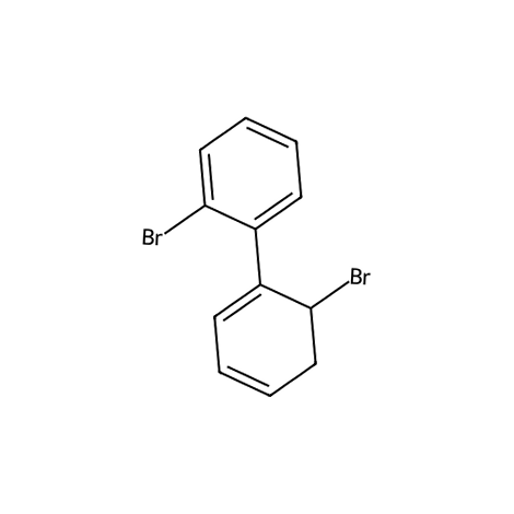 Brc1ccccc1C1=CC=CCC1Br